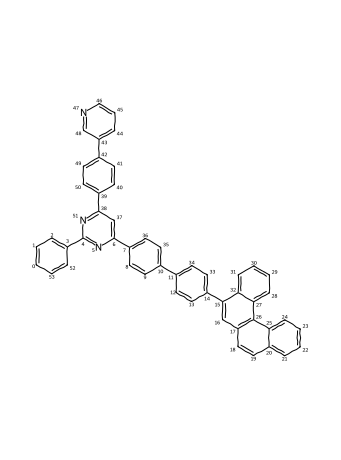 c1ccc(-c2nc(-c3ccc(-c4ccc(-c5cc6ccc7ccccc7c6c6ccccc56)cc4)cc3)cc(-c3ccc(-c4cccnc4)cc3)n2)cc1